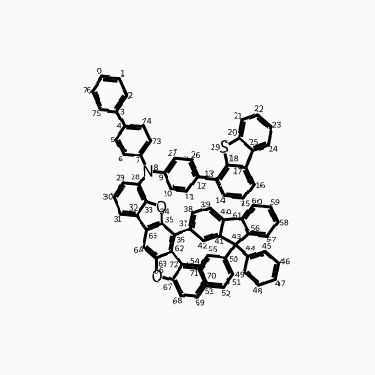 c1ccc(-c2ccc(N(c3ccc(-c4cccc5c4sc4ccccc45)cc3)c3cccc4c3oc3c(-c5ccc6c(c5)C(c5ccccc5)(c5ccccc5)c5ccccc5-6)c5c(cc34)oc3ccccc35)cc2)cc1